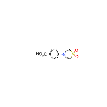 O=C(O)c1ccc(N2C=CS(=O)(=O)C=C2)cc1